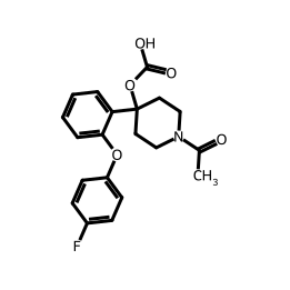 CC(=O)N1CCC(OC(=O)O)(c2ccccc2Oc2ccc(F)cc2)CC1